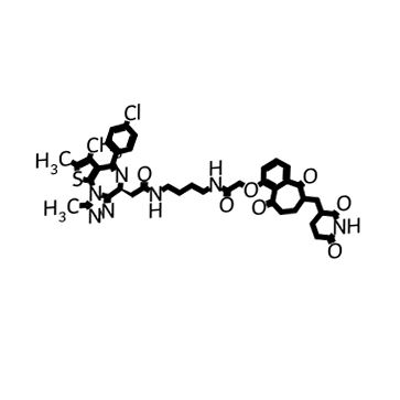 Cc1sc2c(c1C)C(c1ccc(Cl)cc1)=N[C@@H](CC(=O)NCCCCNC(=O)COc1cccc3c1C(=O)CCC(CC1CCC(=O)NC1=O)C3=O)c1nnc(C)n1-2